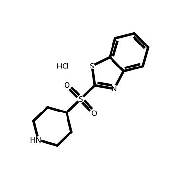 Cl.O=S(=O)(c1nc2ccccc2s1)C1CCNCC1